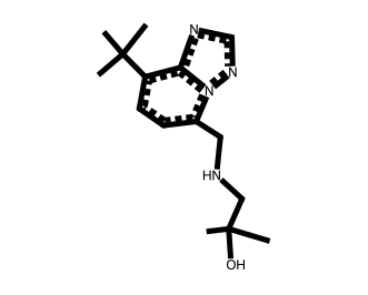 CC(C)(O)CNCc1ccc(C(C)(C)C)c2ncnn12